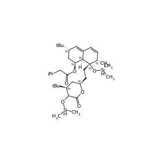 CC(C)CC(=O)O[C@H]1C[C@H](C(C)(C)C)C=C2C=C[C@H](C)[C@](CC[C@@H]3C[C@H](C(C)(C)C)C(O[SiH](C)C)C(=O)O3)(O[SiH](C)C)[C@H]21